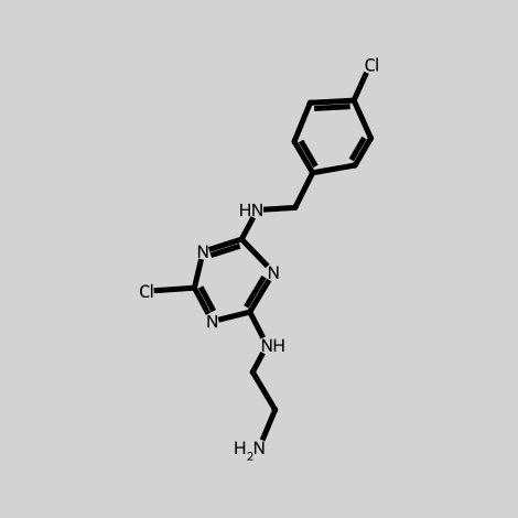 NCCNc1nc(Cl)nc(NCc2ccc(Cl)cc2)n1